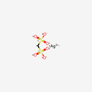 O=S(=O)([O-])CS(=O)(=O)[O-].[Ag+2]